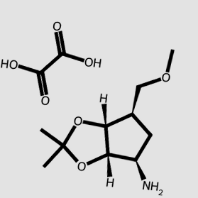 COC[C@H]1C[C@@H](N)[C@@H]2OC(C)(C)O[C@H]12.O=C(O)C(=O)O